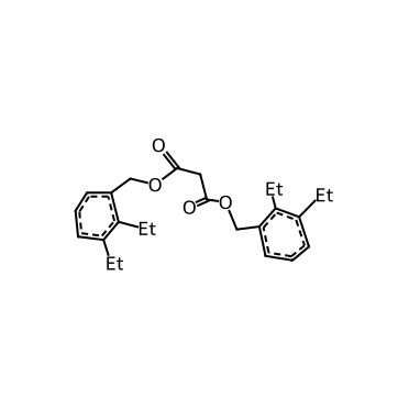 CCc1cccc(COC(=O)CC(=O)OCc2cccc(CC)c2CC)c1CC